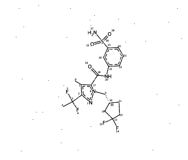 Cc1c(C(C)(F)F)nn(C[C@@H]2CCC(F)(F)C2)c1C(=O)Nc1cccc(S(N)(=O)=O)c1